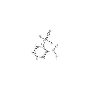 CC(C)c1ccccc1P(C)(C)=O